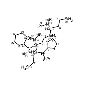 CCCN(C1CCCC1)[SiH](CC[SiH3])[Si](CC[SiH2][SiH](CC[SiH3])N(C(C)C)C(C)C)(N(CCC)C1CCCCC1)N(C(C)C)C(C)CC